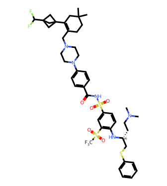 CN(C)CC[C@H](CSc1ccccc1)Nc1ccc(S(=O)(=O)NC(=O)c2ccc(N3CCN(CC4=C(C56CC(C(F)F)(C5)C6)CC(C)(C)CC4)CC3)cc2)cc1S(=O)(=O)C(F)(F)F